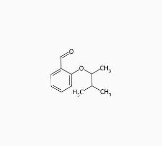 CC(C)C(C)Oc1ccccc1C=O